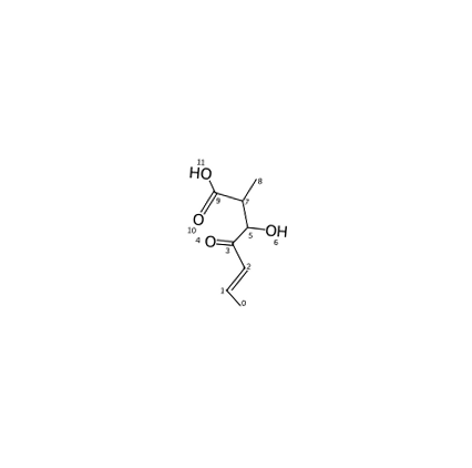 CC=CC(=O)C(O)C(C)C(=O)O